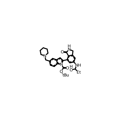 CCC(O)Nc1cc2c(c(-c3cc4cc(CN5CCCCC5)ccc4n3C(=O)OC(C)(C)C)c1)C(=O)NC2